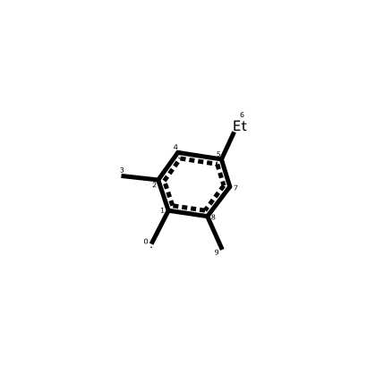 [CH2]c1c(C)cc(CC)cc1C